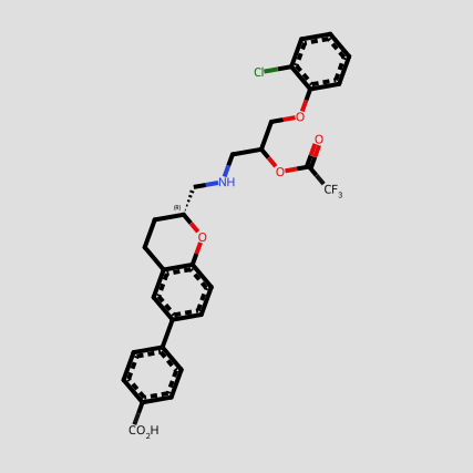 O=C(O)c1ccc(-c2ccc3c(c2)CC[C@H](CNCC(COc2ccccc2Cl)OC(=O)C(F)(F)F)O3)cc1